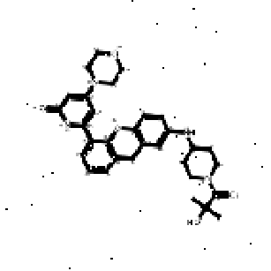 CC(C)(O)C(=O)N1CCC(Nc2ccc3c(c2)Cc2cccc(-c4cc(N5CCOCC5)cc(=O)[nH]4)c2O3)CC1